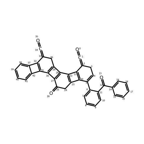 O=C=C1C[C]=C(c2ccccc2C(=O)c2[c]cccc2)C2=C1C1=C2CC(=O)C2=C1C1=C2C2=C(C(=C=O)C1)c1ccccc12